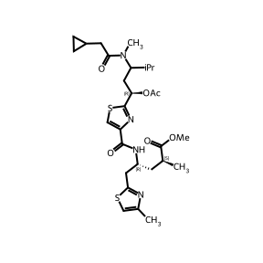 COC(=O)[C@@H](C)C[C@H](Cc1nc(C)cs1)NC(=O)c1csc([C@@H](CC(C(C)C)N(C)C(=O)CC2CC2)OC(C)=O)n1